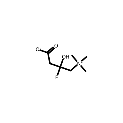 C[N+](C)(C)CC(O)(F)CC(=O)[O-]